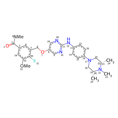 CNC(=O)c1cc(COc2cnc(Nc3ccc(N4C[C@@H](C)N(C)[C@@H](C)C4)cc3)nc2)c(F)c(OC)c1